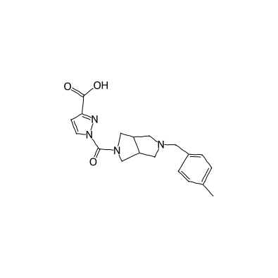 Cc1ccc(CN2CC3CN(C(=O)n4ccc(C(=O)O)n4)CC3C2)cc1